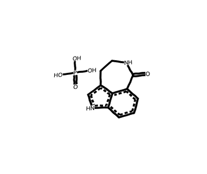 O=C1NCCc2c[nH]c3cccc1c23.O=P(O)(O)O